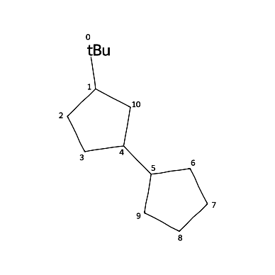 CC(C)(C)C1CCC(C2CCCC2)C1